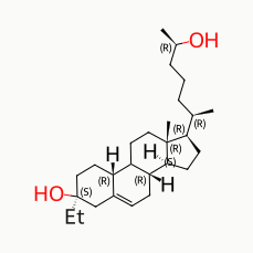 CC[C@]1(O)CC[C@H]2C(=CC[C@@H]3C2CC[C@]2(C)[C@@H]([C@H](C)CCC[C@@H](C)O)CC[C@@H]32)C1